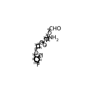 NC1(COCC=O)CN(C(=O)O[C@H]2C[C@@H](COCc3ccc(F)cc3Cl)C2)C1